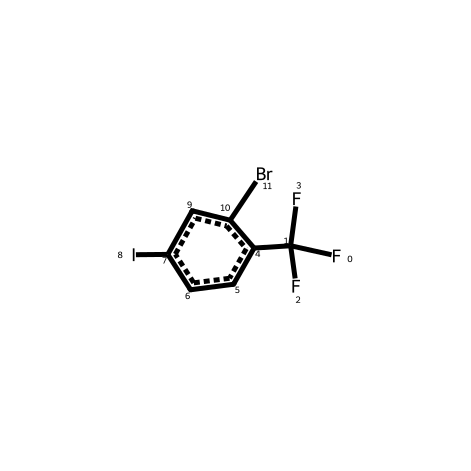 FC(F)(F)c1ccc(I)cc1Br